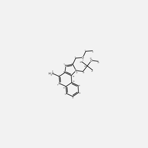 CCOCc1nc2c(N)nc3ccccc3c2n1CC(C)(C)OC